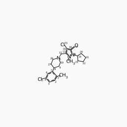 Cc1ccc(Cl)cc1C1CCN(Cc2c(Cl)c(=O)n(C3CCCC3)n2C)CC1